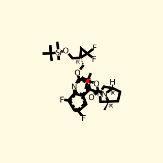 CC(C)(C)OC(=O)N1[C@@H]2CC[C@]1(C)CN(c1nc(OC[C@]3(CO[Si](C)(C)C(C)(C)C)CC3(F)F)nc3c(F)cc(F)cc13)C2